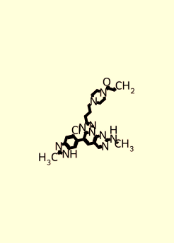 C=CC(=O)N1CCN(CCCc2nc3c(-c4cc5[nH]c(C)nc5cc4Cl)cc4cnc(NC)nc4n3n2)CC1